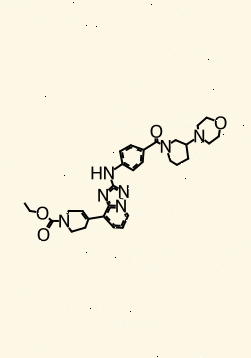 CCOC(=O)N1CC=C(c2cccn3nc(Nc4ccc(C(=O)N5CCCC(N6CCOCC6)C5)cc4)nc23)CC1